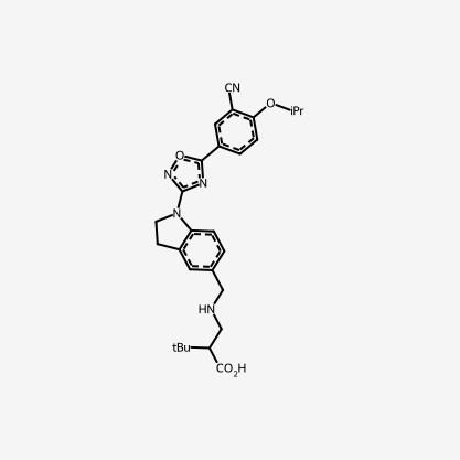 CC(C)Oc1ccc(-c2nc(N3CCc4cc(CNCC(C(=O)O)C(C)(C)C)ccc43)no2)cc1C#N